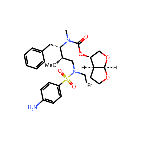 CO[C@H](CN(CC(C)C)S(=O)(=O)c1ccc(N)cc1)[C@H](Cc1ccccc1)N(C)C(=O)O[C@H]1CO[C@H]2OCC[C@H]21